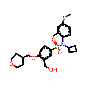 CSc1ccc(N(C2CCC2)S(=O)(=O)c2ccc(OCC3CCOCC3)c(CO)c2)c(C)c1